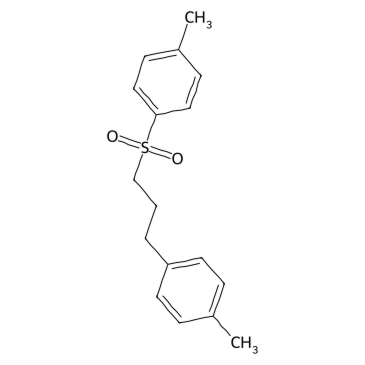 Cc1ccc(CCCS(=O)(=O)c2ccc(C)cc2)cc1